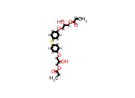 C=CC(=O)OCC(O)COc1ccc(Sc2ccc(OCC(O)COC(=O)C=C)cc2)cc1